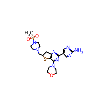 CS(=O)(=O)N1CCN(CC2Cc3nc(-c4cnc(N)nc4)nc(N4CCOCC4)c3S2)CC1